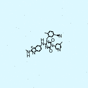 CNc1nc2ccc(Nc3nc(=O)n(-c4cncc(C)c4)c(=O)n3Cc3cc(C#N)ccc3C)cc2s1